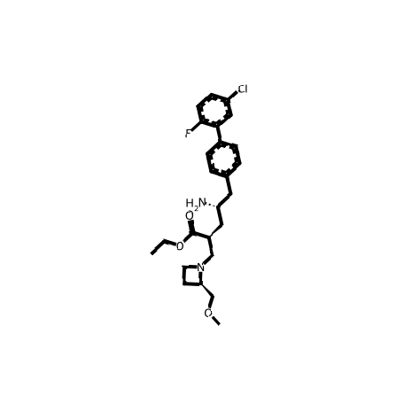 CCOC(=O)[C@@H](C[C@H](N)Cc1ccc(-c2cc(Cl)ccc2F)cc1)CN1CC[C@@H]1COC